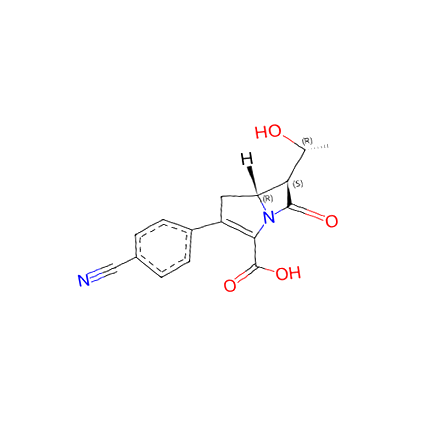 C[C@@H](O)[C@H]1C(=O)N2C(C(=O)O)=C(c3ccc(C#N)cc3)C[C@H]12